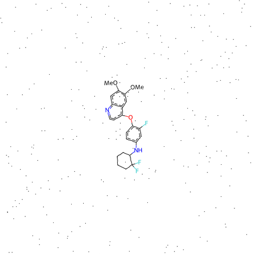 COc1cc2nccc(Oc3ccc(NC4CCCCC4(F)F)cc3F)c2cc1OC